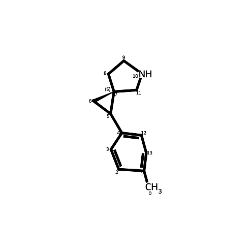 Cc1ccc(C2C[C@]23CCNC3)cc1